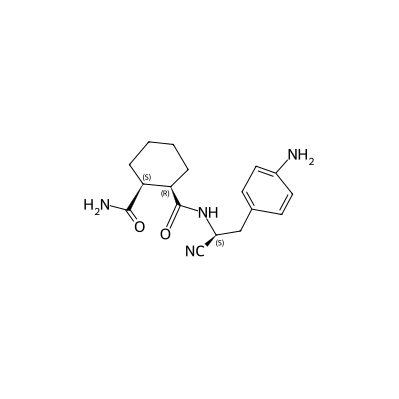 N#C[C@H](Cc1ccc(N)cc1)NC(=O)[C@@H]1CCCC[C@@H]1C(N)=O